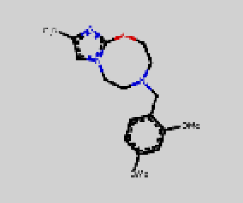 COc1ccc(CN2CCOc3nc([N+](=O)[O-])cn3CC2)c(OC)c1